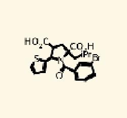 CC(C)CC1(C(=O)O)CC(C(=O)O)C(c2cccs2)N1C(=O)c1cccc(Br)c1